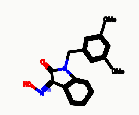 COc1cc(CN2C(=O)/C(=N\O)c3ccccc32)cc(OC)c1